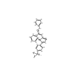 FC(F)(F)c1ccc(-c2cnc3cc(OCc4ccccc4)c4ccccc4n23)cc1